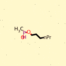 CCCCCCO[PH](C)=O